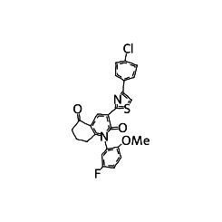 COc1ccc(F)cc1-n1c2c(cc(-c3nc(-c4ccc(Cl)cc4)cs3)c1=O)C(=O)CCC2